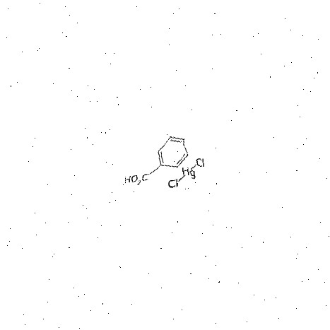 O=C(O)c1ccccc1.[Cl][Hg][Cl]